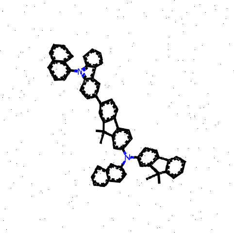 CC1(C)c2ccccc2-c2ccc(N(c3ccc4c(c3)C(C)(C)c3cc(-c5ccc6c(c5)c5ccccc5n6-c5cccc6ccccc56)ccc3-4)c3ccc4ccccc4c3)cc21